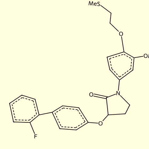 COc1cc(N2CCC(Oc3ccc(-c4ccccc4F)cc3)C2=O)ccc1OCCSC